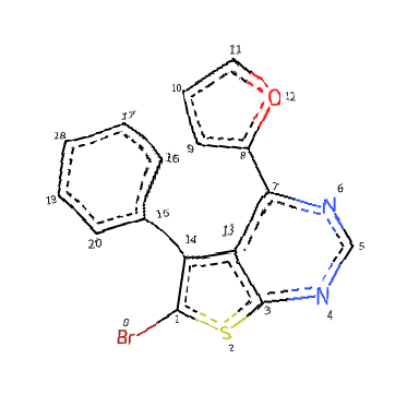 Brc1sc2ncnc(-c3ccco3)c2c1-c1ccccc1